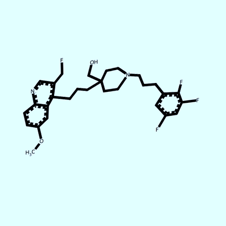 COc1ccc2ncc(CF)c(CCCC3(CO)CCN(CCCc4cc(F)cc(F)c4F)CC3)c2c1